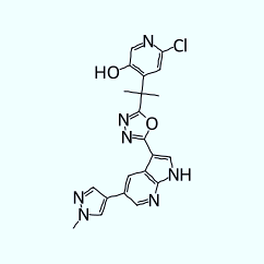 Cn1cc(-c2cnc3[nH]cc(-c4nnc(C(C)(C)c5cc(Cl)ncc5O)o4)c3c2)cn1